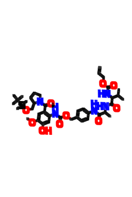 C=CCOC(=O)NC(C(=O)NC(C)C(=O)Nc1ccc(COC(=O)Nc2cc(O)c(OC)cc2C(=O)N2CCCC2CO[Si](C)(C)C(C)(C)C)cc1)C(C)C